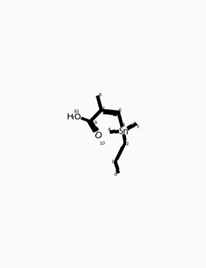 CC[CH2][Sn]([CH3])([CH3])[CH]=C(C)C(=O)O